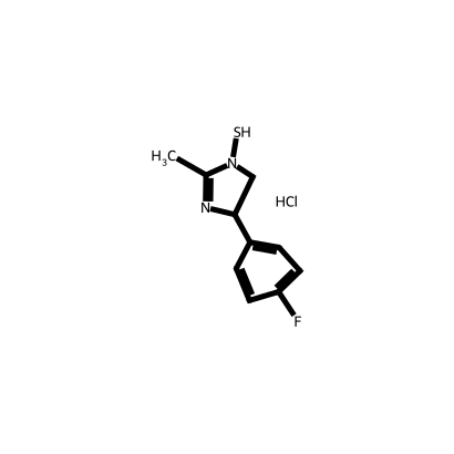 CC1=NC(c2ccc(F)cc2)CN1S.Cl